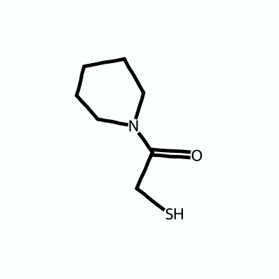 O=C(CS)N1CCCCC1